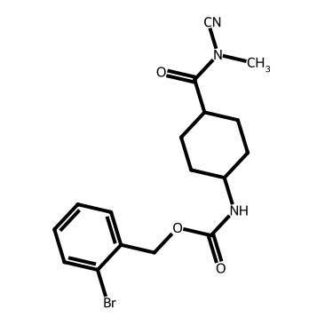 CN(C#N)C(=O)C1CCC(NC(=O)OCc2ccccc2Br)CC1